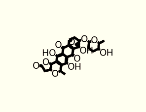 CC1OC2CC(=O)OC2c2c(O)c3c(c(O)c21)C(=O)C1=C(C3=O)C2CC(OC3CCC(O)C(C)O3)C1(O)C(C)O2